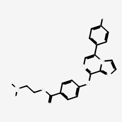 CCN(CC)CCNC(=O)c1ccc(Nc2ncc(-c3ccc(C(=O)O)cc3)n3ccnc23)cc1